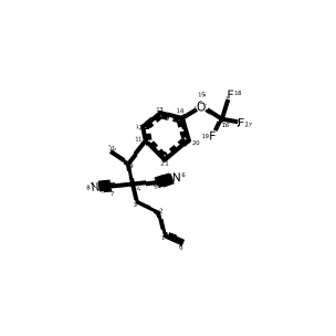 C=CCCC(C#N)(C#N)C(C)c1ccc(OC(F)(F)F)cc1